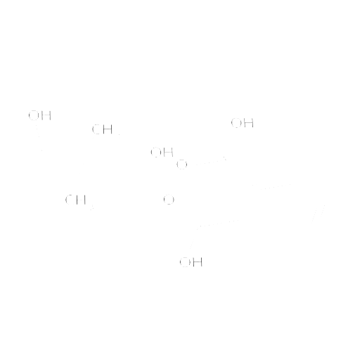 CC(C)(CO)CO.O=C(O)c1ccccc1C(=O)O